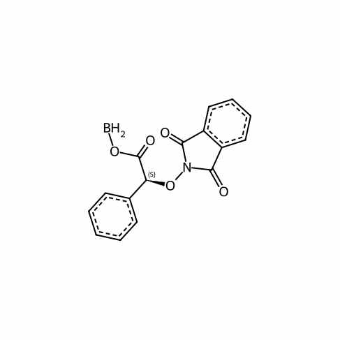 BOC(=O)[C@@H](ON1C(=O)c2ccccc2C1=O)c1ccccc1